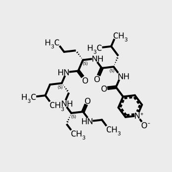 CCC[C@H](NC(=O)[C@H](CC(C)C)NC(=O)c1cc[n+]([O-])cc1)C(=O)N[C@H](CN[C@@H](CC)C(=O)NCC)CC(C)C